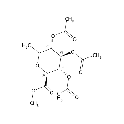 COC(=O)[C@H]1OC(C)[C@H](OC(C)=O)[C@@H](OC(C)=O)[C@@H]1OC(C)=O